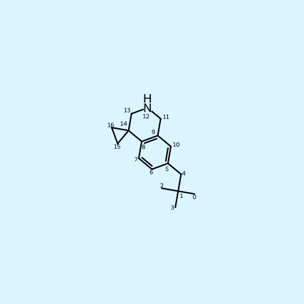 CC(C)(C)Cc1ccc2c(c1)CNCC21CC1